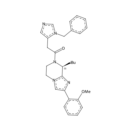 CCC(C)[C@H]1c2nc(-c3ccccc3OC)cn2CCN1C(=O)Cc1cncn1Cc1ccccc1